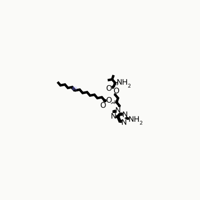 CCCC/C=C/CCCCCCCC(=O)OC[C@H](CCOC(=O)[C@@H](N)C(C)C)Cn1cnc2cnc(N)nc21